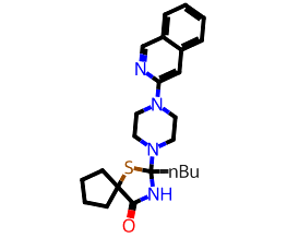 CCCCC1(N2CCN(c3cc4ccccc4cn3)CC2)NC(=O)C2(CCCC2)S1